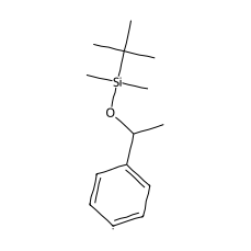 CC(O[Si](C)(C)C(C)(C)C)c1cc[c]cc1